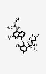 C/C(=N/C=N)Nc1cc(C)nc2c(OCc3c(Cl)cc(F)cc3C(C)(C)NC(=O)CC(F)F)cccc12